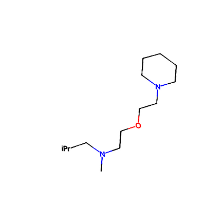 CC(C)CN(C)CCOCCN1CCCCC1